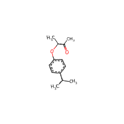 CC(=O)C(C)Oc1ccc(C(C)C)cc1